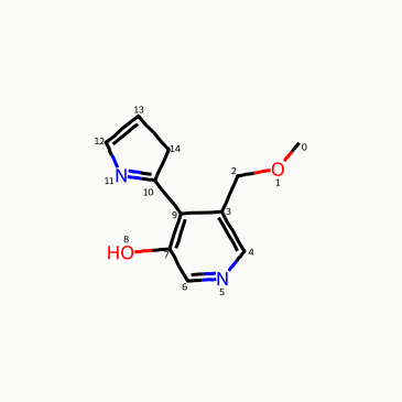 COCc1cncc(O)c1C1=NC=CC1